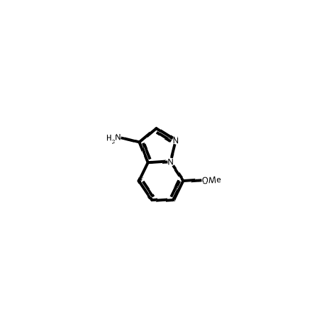 COc1cccc2c(N)cnn12